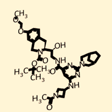 COCOc1ccc2c(c1)CN(C(=O)OC(C)(C)C)[C@H]([C@H](O)CNC(=O)c1cc(NC3CN(C(C)=O)C3)nc(N3CC4CCC(C4)C3)n1)C2